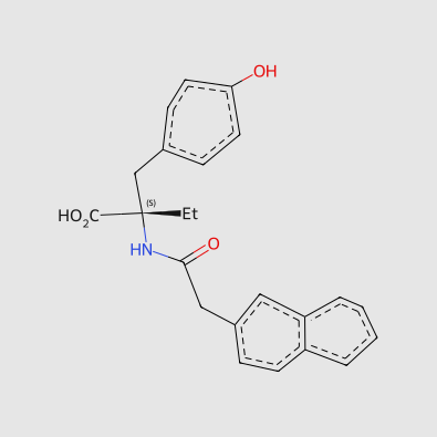 CC[C@@](Cc1ccc(O)cc1)(NC(=O)Cc1ccc2ccccc2c1)C(=O)O